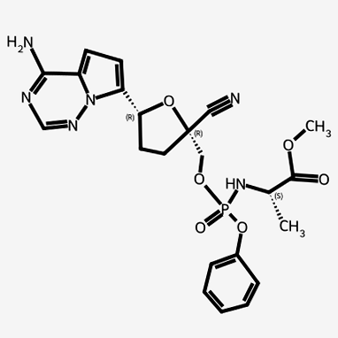 COC(=O)[C@H](C)NP(=O)(OC[C@]1(C#N)CC[C@H](c2ccc3c(N)ncnn23)O1)Oc1ccccc1